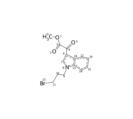 COC(=O)C(=O)c1cn(CCCBr)c2ccccc12